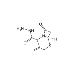 C=C1CS[C@@H]2CC(=O)N2C1C(=O)NN